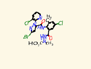 Cc1cc(Cl)cc(C(=O)NN(C)C(=O)O)c1NC(=O)c1cc(Br)nn1-c1ncccc1Cl